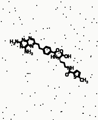 Cc1ccc(C(=O)NCCC[C@H](NC(=O)c2ccc(CCc3cnc4nc(N)nc(N)c4n3)cc2)C(=O)O)s1